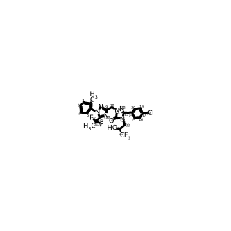 Cc1ccccc1-n1nc(Cn2nc(-c3ccc(Cl)cc3)n(C[C@H](O)C(F)(F)F)c2=O)nc1C(C)(F)F